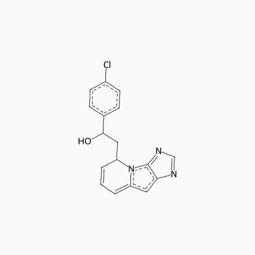 OC(CC1C=CC=c2cc3c(n21)=NC=N3)c1ccc(Cl)cc1